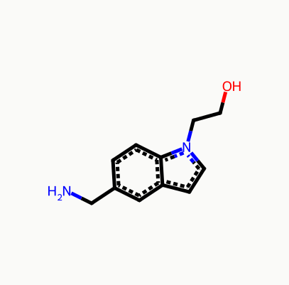 NCc1ccc2c(ccn2CCO)c1